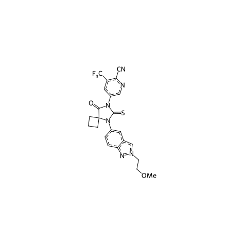 COCCn1cc2cc(N3C(=S)N(c4cnc(C#N)c(C(F)(F)F)c4)C(=O)C34CCC4)ccc2n1